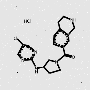 Cl.O=C(c1ccc2c(c1)CNCC2)N1CC[C@@H](Nc2ncc(Cl)cn2)C1